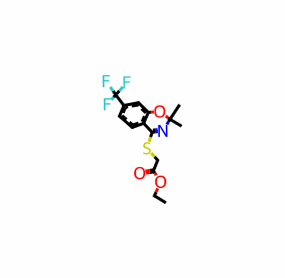 CCOC(=O)CSC1=NC(C)(C)Oc2cc(C(F)(F)F)ccc21